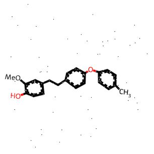 COc1cc(CCc2ccc(Oc3ccc(C)cc3)cc2)ccc1O